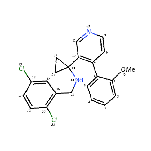 COc1ccccc1-c1ccncc1C1(NCc2cc(Cl)ccc2Cl)CC1